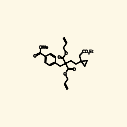 C=CCOC(=O)C(CCC1(CC(=O)OCC)CC1)(Cc1ccc(C(=O)OC)cc1)C(=O)OCC=C